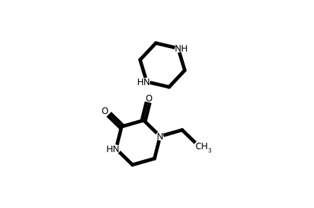 C1CNCCN1.CCN1CCNC(=O)C1=O